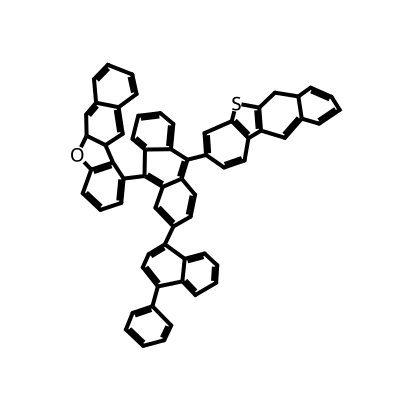 C1=CC2=Cc3c(sc4cc(-c5c6ccccc6c(-c6cccc7c6C6C=c8ccccc8=CC6O7)c6cc(-c7ccc(-c8ccccc8)c8ccccc78)ccc56)ccc34)CC2C=C1